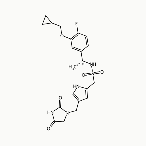 C[C@@H](NS(=O)(=O)Cc1cc(CN2CC(=O)NC2=O)c[nH]1)c1ccc(F)c(OCC2CC2)c1